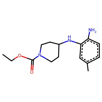 CCOC(=O)N1CCC(Nc2cc(C)ccc2N)CC1